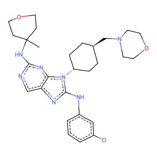 CC1(Nc2ncc3nc(Nc4cccc(Cl)c4)n([C@H]4CC[C@H](CN5CCOCC5)CC4)c3n2)CCOCC1